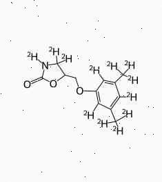 [2H]c1c(OCC2OC(=O)N([2H])C2([2H])[2H])c([2H])c(C([2H])([2H])[2H])c([2H])c1C([2H])([2H])[2H]